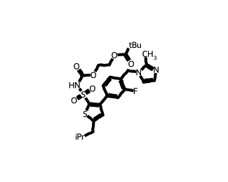 Cc1nccn1Cc1ccc(-c2cc(CC(C)C)sc2S(=O)(=O)NC(=O)OCCOC(=O)C(C)(C)C)cc1F